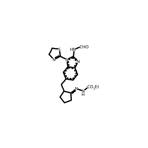 CCOC(=O)NN=C1CCCC1Cc1ccc2nc(NC=O)n(C3=NCCS3)c2c1